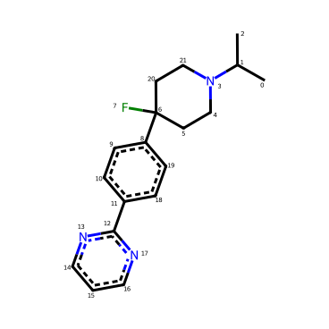 CC(C)N1CCC(F)(c2ccc(-c3ncccn3)cc2)CC1